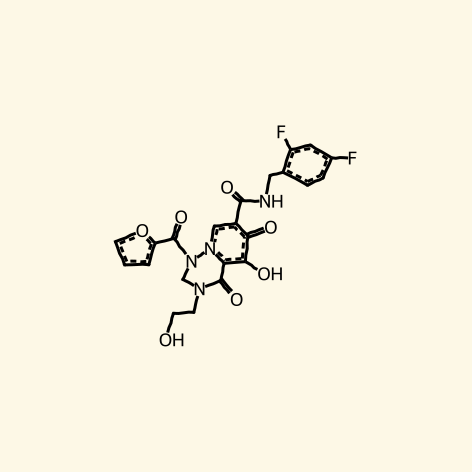 O=C(NCc1ccc(F)cc1F)c1cn2c(c(O)c1=O)C(=O)N(CCO)CN2C(=O)c1ccco1